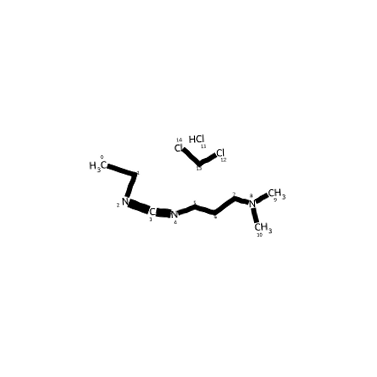 CCN=C=NCCCN(C)C.Cl.ClCCl